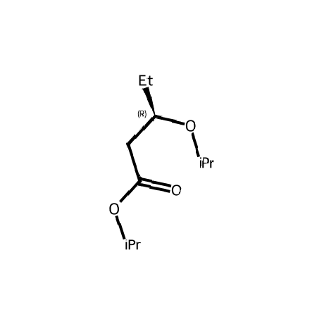 CC[C@H](CC(=O)OC(C)C)OC(C)C